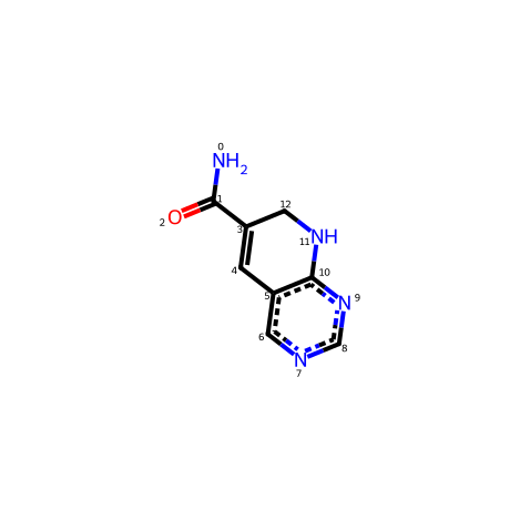 NC(=O)C1=Cc2cncnc2NC1